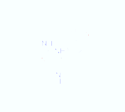 CNC(=O)NC1(c2ccc3c(c2)OCO3)CCNCC1